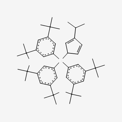 CC(C)C1=C[C]([Si](c2cc(C(C)(C)C)cc(C(C)(C)C)c2)(c2cc(C(C)(C)C)cc(C(C)(C)C)c2)c2cc(C(C)(C)C)cc(C(C)(C)C)c2)C=C1